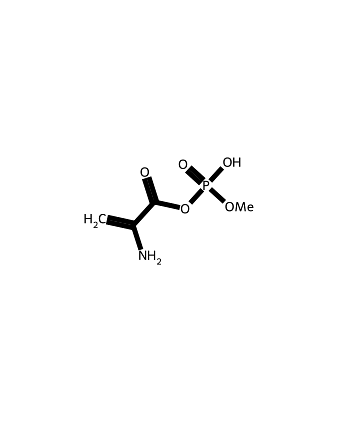 C=C(N)C(=O)OP(=O)(O)OC